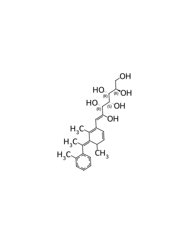 CC1=C(C=C(O)[C@H](O)[C@@H](O)[C@H](O)[C@H](O)CO)C=CC(C)C1=C(C)c1ccccc1C